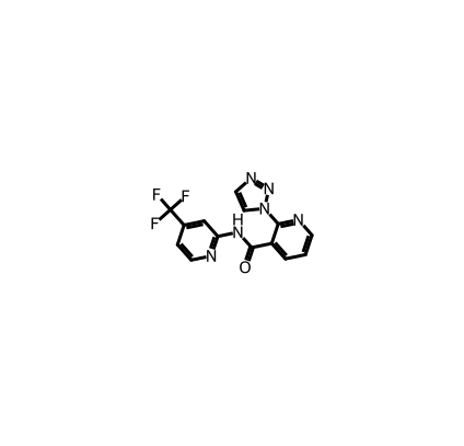 O=C(Nc1cc(C(F)(F)F)ccn1)c1cccnc1-n1ccnn1